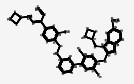 N=C/C(=C\NC1COC1)c1ccc(COc2cccc(-c3cc(F)c(Cc4nc5ccc(C(=O)O)cc5n4C[C@@H]4CCO4)cc3F)n2)c(F)c1